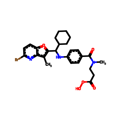 Cc1c(C(Nc2ccc(C(=O)N(C)CCC(=O)OO)cc2)C2CCCCC2)oc2ccc(Br)nc12